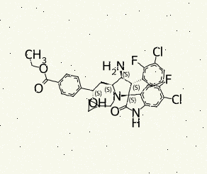 CCOC(=O)c1ccc([C@@H](O)C[C@H]2[C@@H](N)[C@H](c3cccc(Cl)c3F)[C@]3(C(=O)Nc4cc(Cl)c(F)cc43)N2CC2CC2)cc1